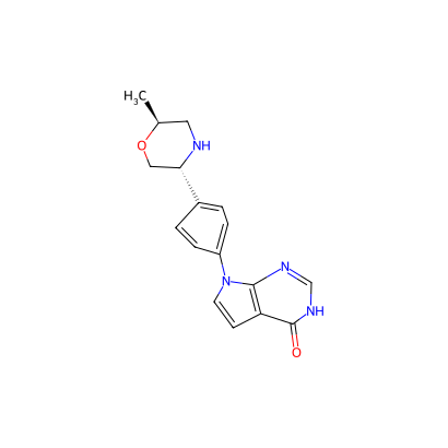 C[C@H]1CN[C@H](c2ccc(-n3ccc4c(=O)[nH]cnc43)cc2)CO1